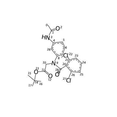 CC(=O)Nc1cccc(N(CC(=O)OC(C)(C)C)C(=O)c2c(Cl)cccc2Cl)c1